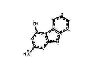 Cc1cc(O)n2c(n1)nc1ccccc12